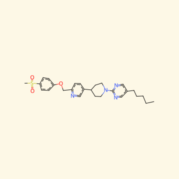 CCCCCc1cnc(N2CCC(c3ccc(COc4ccc(S(C)(=O)=O)cc4)nc3)CC2)nc1